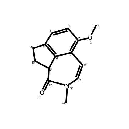 COc1ccc2c3c1C=CN(C)C(=O)C3CC2